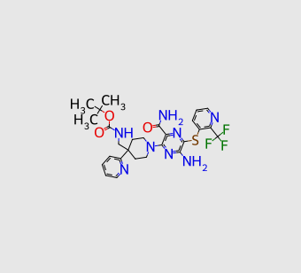 CC(C)(C)OC(=O)NCC1(c2ccccn2)CCN(c2nc(N)c(Sc3cccnc3C(F)(F)F)nc2C(N)=O)CC1